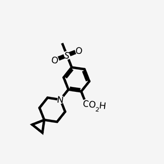 CS(=O)(=O)c1ccc(C(=O)O)c(N2CCC3(CC2)CC3)c1